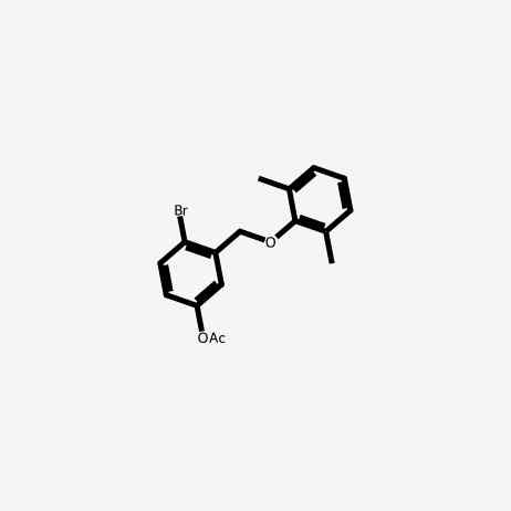 CC(=O)Oc1ccc(Br)c(COc2c(C)cccc2C)c1